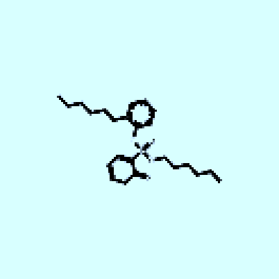 CCCCCCOP(=O)(Oc1ccccc1CCCCCC)C1=CC=CCC1=S